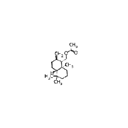 C=C1CC[C@H]2C(C)(C)CCC[C@]2(C)[C@H]1COC(C)=O